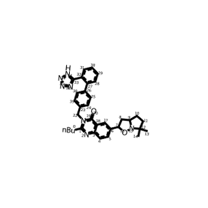 CCCCc1nc2ccc(C3CC4CCC(C)(C)N4O3)cc2c(=O)n1Cc1ccc(-c2ccccc2-c2nnn[nH]2)cc1